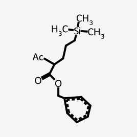 CC(=O)C(CCC[Si](C)(C)C)C(=O)OCc1ccccc1